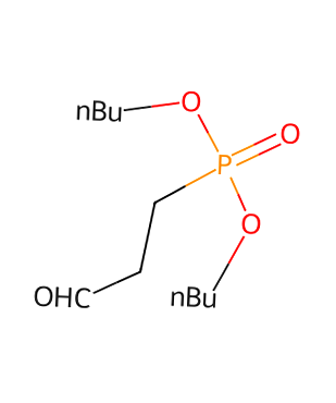 CCCCOP(=O)(CCC=O)OCCCC